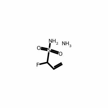 C=CC(F)S(N)(=O)=O.N